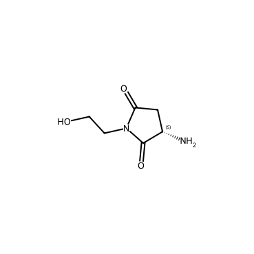 N[C@H]1CC(=O)N(CCO)C1=O